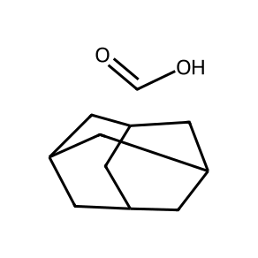 C1C2CC3CC1CC(C2)C3.O=CO